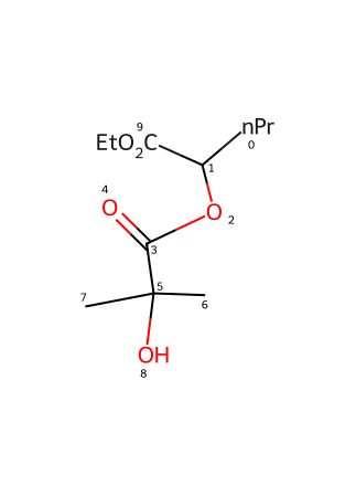 CCCC(OC(=O)C(C)(C)O)C(=O)OCC